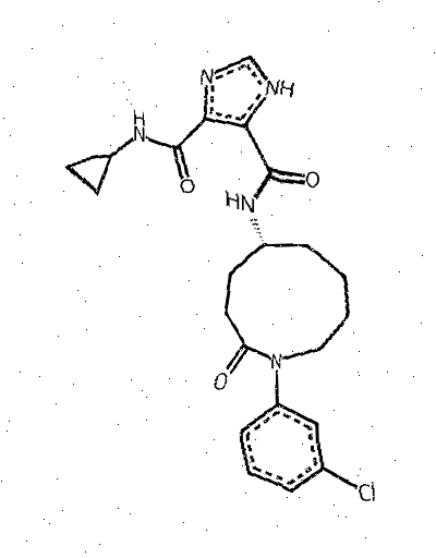 O=C(NC1CC1)c1nc[nH]c1C(=O)N[C@@H]1CCCCN(c2cccc(Cl)c2)C(=O)CC1